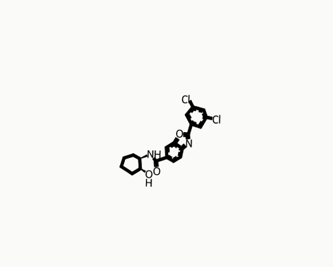 O=C(N[C@@H]1CCCC[C@@H]1O)c1ccc2nc(-c3cc(Cl)cc(Cl)c3)oc2c1